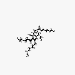 CCCCCCCC(C)CN1C[C@@H](CC)N(CC(CCCCCCC)CCCCCCC)[C@@H](CC)C1